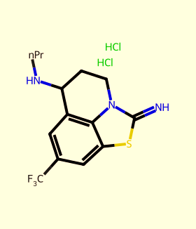 CCCNC1CCn2c(=N)sc3cc(C(F)(F)F)cc1c32.Cl.Cl